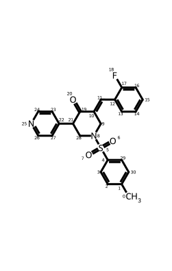 Cc1ccc(S(=O)(=O)N2CC(=Cc3ccccc3F)C(=O)C(c3ccncc3)C2)cc1